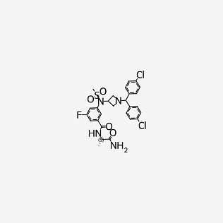 C[C@H](NC(=O)c1cc(F)cc(N(C2CN(C(c3ccc(Cl)cc3)c3ccc(Cl)cc3)C2)S(C)(=O)=O)c1)C(N)=O